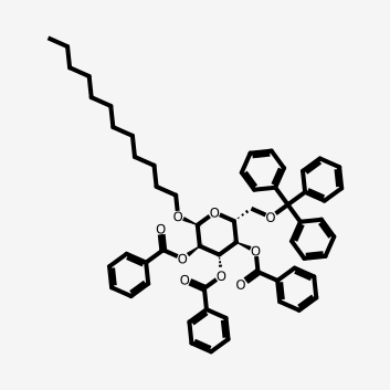 CCCCCCCCCCCCO[C@H]1O[C@H](COC(c2ccccc2)(c2ccccc2)c2ccccc2)[C@@H](OC(=O)c2ccccc2)[C@H](OC(=O)c2ccccc2)[C@H]1OC(=O)c1ccccc1